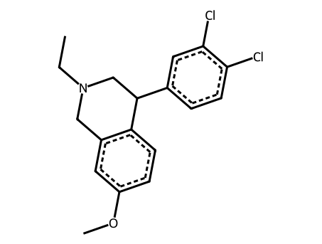 CCN1Cc2cc(OC)ccc2C(c2ccc(Cl)c(Cl)c2)C1